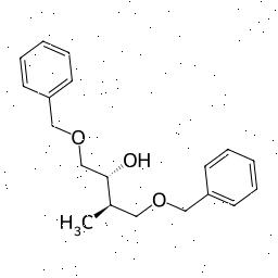 C[C@H](COCc1ccccc1)[C@@H](O)COCc1ccccc1